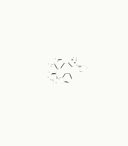 Nc1ncc(-c2cnn([C@@H]3CCOC3)c2)cc1C1=NNNN1c1cccc(F)c1F